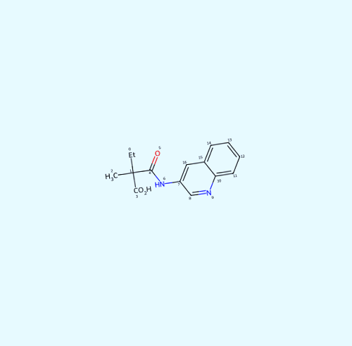 CCC(C)(C(=O)O)C(=O)Nc1cnc2ccccc2c1